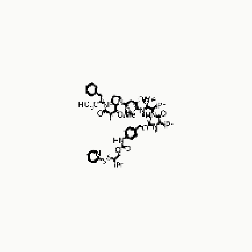 CC[C@H](C)[C@@H]([C@@H](CC(=O)N1CCCC1[C@H](OC)[C@@H](C)C(=O)N[C@@H](Cc1ccccc1)C(=O)O)OC)N(C)C(=O)C(NC(=O)C(C(C)C)N(C)C(=O)OCc1ccc(NC(=O)OCC(SSc2ccccn2)C(C)C)cc1)C(C)C